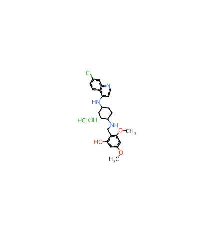 COc1cc(O)c(CNC2CCC(Nc3ccnc4cc(Cl)ccc34)CC2)c(OC)c1.Cl.Cl